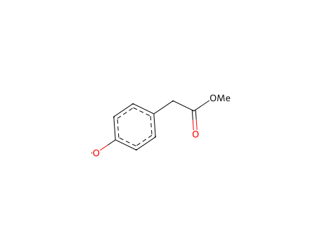 COC(=O)Cc1ccc([O])cc1